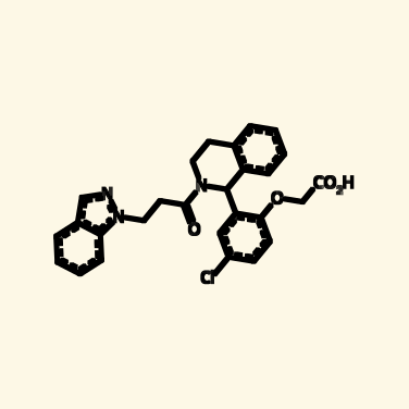 O=C(O)COc1ccc(Cl)cc1C1c2ccccc2CCN1C(=O)CCn1ncc2ccccc21